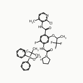 Cc1ccnc(Cl)c1NC(=O)c1cc(F)c(NC(=O)N2CCC[C@@H]2CO[Si](c2ccccc2)(c2ccccc2)C(C)(C)C)cc1OC(C)C(F)(F)F